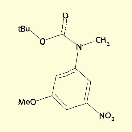 COc1cc(N(C)C(=O)OC(C)(C)C)cc([N+](=O)[O-])c1